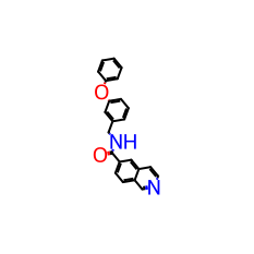 O=C(NCc1cccc(Oc2ccccc2)c1)c1ccc2cnccc2c1